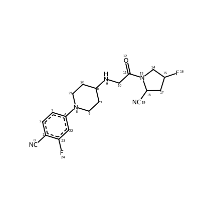 N#Cc1ccc(N2CCC(NCC(=O)N3CC(F)CC3C#N)CC2)cc1F